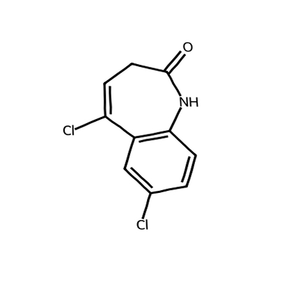 O=C1CC=C(Cl)c2cc(Cl)ccc2N1